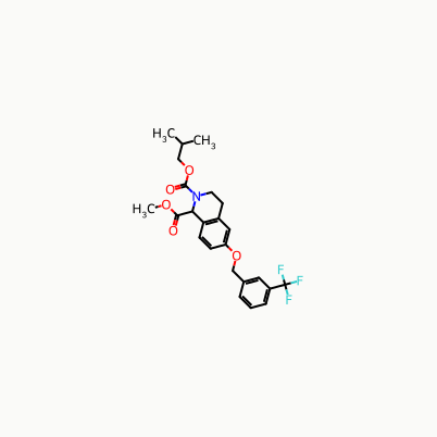 COC(=O)C1c2ccc(OCc3cccc(C(F)(F)F)c3)cc2CCN1C(=O)OCC(C)C